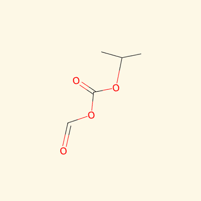 CC(C)OC(=O)OC=O